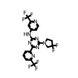 FC1(F)CCN(c2nc(Nc3ccnc(C(F)(F)F)c3)nc(-c3cccc(C(F)(F)F)n3)n2)C1